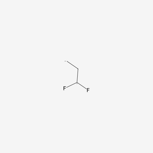 [CH2]C[C](F)F